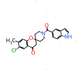 Cc1cc2c(cc1Cl)C(=O)CC1(CCN(C(=O)c3ccc4[nH]ccc4c3)CC1)O2